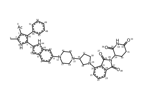 CC(=O)c1c(C)[nH]c(-c2nc3ccc(N4CCN(C5CCN(c6cccc7c6C(=O)N(C6CCC(=O)NC6=O)C7=O)C5)CC4)cc3[nH]2)c1-c1ccccc1